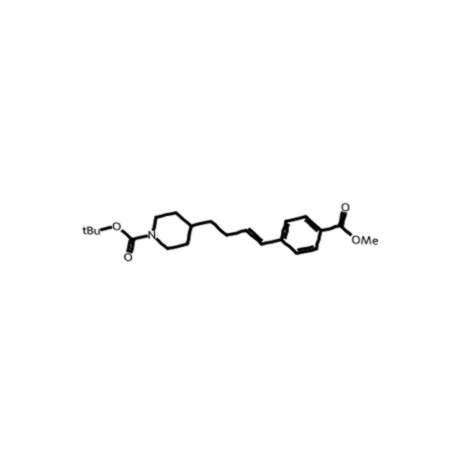 COC(=O)c1ccc(/C=C/CCC2CCN(C(=O)OC(C)(C)C)CC2)cc1